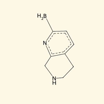 Bc1ccc2c(n1)CNCC2